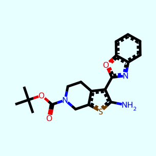 CC(C)(C)OC(=O)N1CCc2c(sc(N)c2-c2nc3ccccc3o2)C1